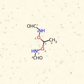 C[C](ONC=O)ONC=O